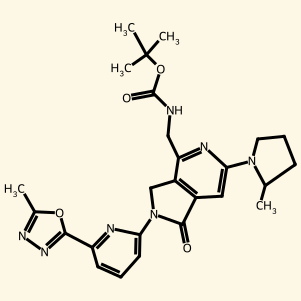 Cc1nnc(-c2cccc(N3Cc4c(cc(N5CCCC5C)nc4CNC(=O)OC(C)(C)C)C3=O)n2)o1